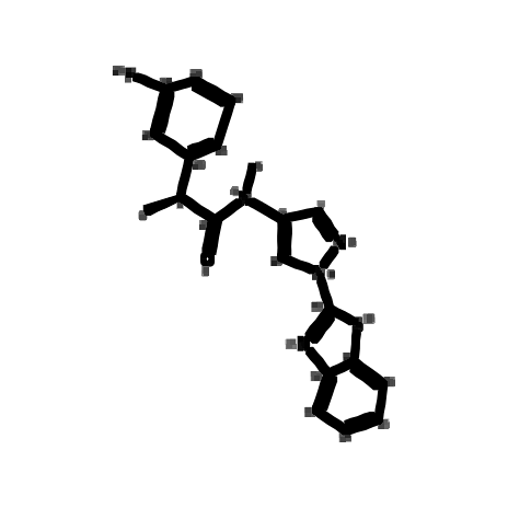 C[C@H](C(=O)N(C)c1cnn(-c2nc3ccccc3s2)c1)c1cccc(F)c1